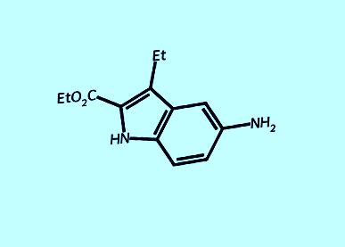 CCOC(=O)c1[nH]c2ccc(N)cc2c1CC